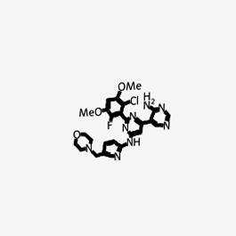 COc1cc(OC)c(Cl)c(-c2nc(Nc3ccc(CN4CCOCC4)cn3)cc(-c3cncnc3N)n2)c1F